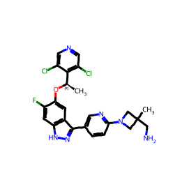 C[C@@H](Oc1cc2c(-c3ccc(N4CC(C)(CN)C4)nc3)n[nH]c2cc1F)c1c(Cl)cncc1Cl